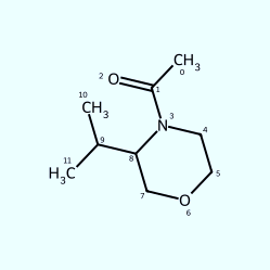 CC(=O)N1CCOCC1C(C)C